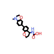 CN1CCOc2cc(-c3ccc4c(c3)OCCC4NC(=O)O)ccc21